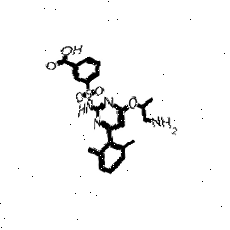 Cc1cccc(C)c1-c1cc(OC(C)CN)nc(NS(=O)(=O)c2cccc(C(=O)O)c2)n1